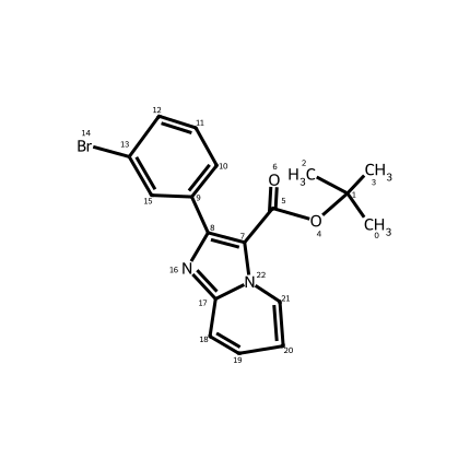 CC(C)(C)OC(=O)c1c(-c2cccc(Br)c2)nc2ccccn12